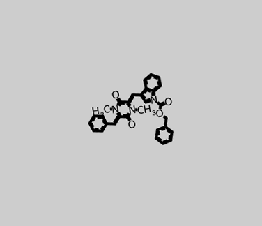 Cn1c(=O)c(=Cc2cn(C(=O)OCc3ccccc3)c3ccccc23)n(C)c(=O)c1=Cc1ccccc1